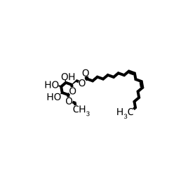 CCCCC/C=C\C/C=C\CCCCCCCC(=O)OC[C@H]1OC(OCC)[C@H](O)[C@@H](O)[C@@H]1O